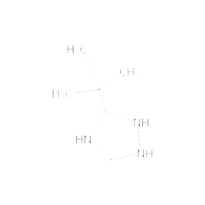 CC(C)(C)C1NCNN1